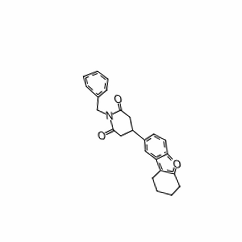 O=C1CC(c2ccc3oc4c(c3c2)CCCC4)CC(=O)N1Cc1ccccc1